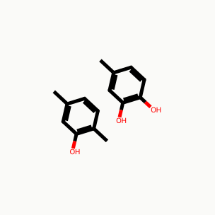 Cc1ccc(C)c(O)c1.Cc1ccc(O)c(O)c1